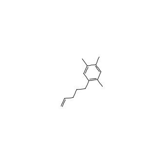 C=CCCCc1cc(C)c(C)cc1C